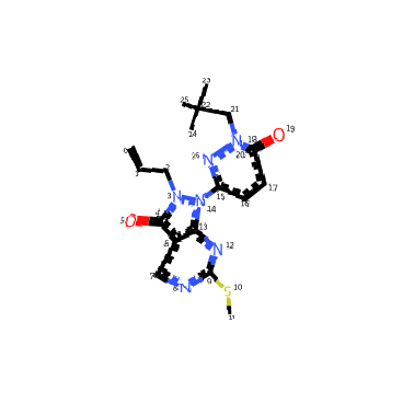 C=CCn1c(=O)c2cnc(SC)nc2n1-c1ccc(=O)n(CC(C)(C)C)n1